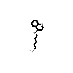 NCCCCCNc1ccnc2ccccc12